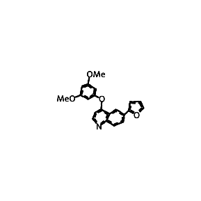 COc1cc(OC)cc(Oc2ccnc3ccc(-c4ccco4)cc23)c1